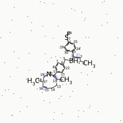 CC/C=C(\BCc1ccc(C2=C(\C)CC/C=C\C(C)/C=N\2)cc1)c1ccc(SF)cc1